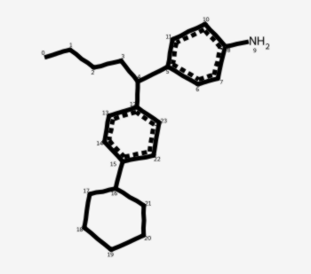 CCCCC(c1ccc(N)cc1)c1ccc(C2CCCCC2)cc1